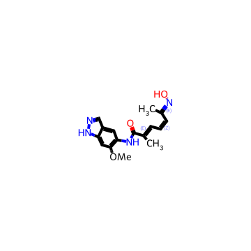 COc1cc2[nH]ncc2cc1NC(=O)/C(C)=C/C=C\C(C)=N\O